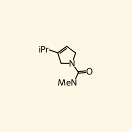 CNC(=O)N1CC=C(C(C)C)C1